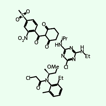 CCNc1nc(Cl)nc(NC(C)C)n1.CCc1cccc(C)c1N(C(=O)CCl)[C@@H](C)COC.CS(=O)(=O)c1ccc(C(=O)C2C(=O)CCCC2=O)c([N+](=O)[O-])c1